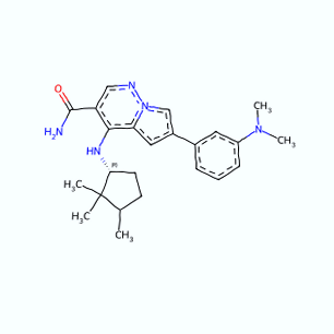 CC1CC[C@@H](Nc2c(C(N)=O)cnn3cc(-c4cccc(N(C)C)c4)cc23)C1(C)C